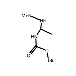 CNNC(C)NC(=O)OC(C)(C)C